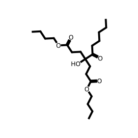 CCCCCC(=O)C(O)(CCC(=O)OCCCC)CCC(=O)OCCCC